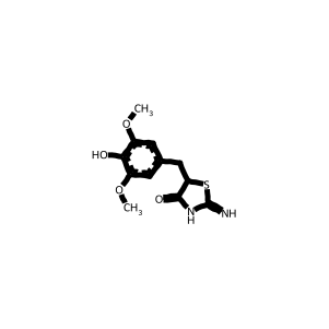 COc1cc(CC2SC(=N)NC2=O)cc(OC)c1O